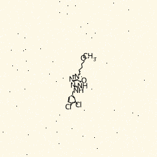 COCCCCCn1cnc2nc(NCc3ccc(Cl)c(Cl)c3)[nH]c(=O)c21